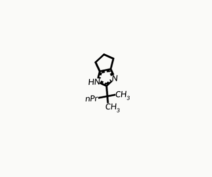 CCCC(C)(C)c1nc2c([nH]1)CCC2